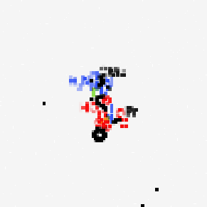 COc1nc(N)nc2c1ncn2[C@@H]1OC(COP(=O)(N[C@@H](C)C(=O)OC(C)C)Oc2ccccc2)C(O)[C@@]1(C)F